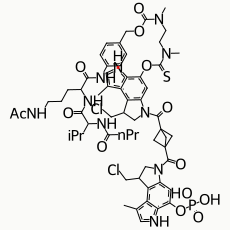 CCCC(=O)NC(C(=O)NC(CCCNC(C)=O)C(=O)Nc1ccc(COC(=O)N(C)CCN(C)C(=S)Oc2cc3c(c4c(C)c[nH]c24)C(CCl)CN3C(=O)C23CC(C(=O)N4CC(CCl)c5c4cc(OP(=O)(O)O)c4[nH]cc(C)c54)(C2)C3)cc1)C(C)C